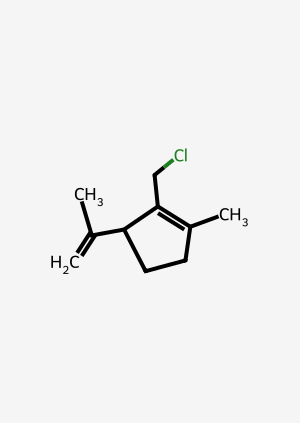 C=C(C)C1CCC(C)=C1CCl